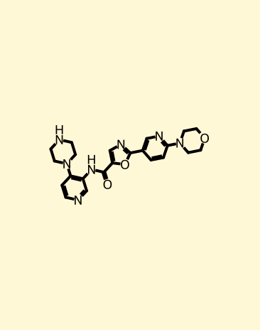 O=C(Nc1cnccc1N1CCNCC1)c1cnc(-c2ccc(N3CCOCC3)nc2)o1